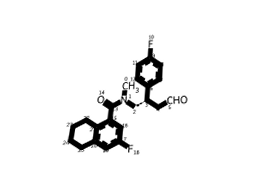 CN(C[C@@H](CC=O)c1ccc(F)cc1)C(=O)c1cc(F)cc2c1CCCC2